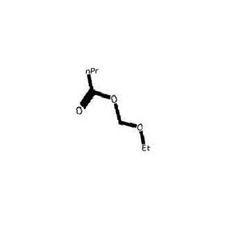 CCCC(=O)OCOCC